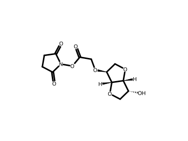 O=C(CO[C@H]1CO[C@H]2[C@@H]1OC[C@H]2O)ON1C(=O)CCC1=O